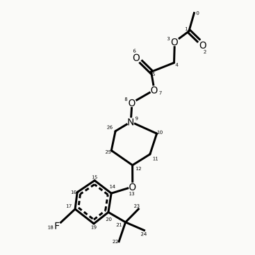 CC(=O)OCC(=O)OON1CCC(Oc2ccc(F)cc2C(C)(C)C)CC1